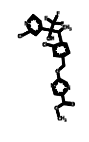 COC(=O)c1cnc(OCc2ccc(C(C)C(O)(c3ccnc(Cl)c3)C(F)(F)F)c(Cl)c2)cn1